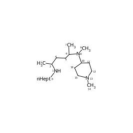 CCCCCCCNC(C)CCC(C)N(C)C1CCN(C)CC1